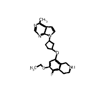 CCOc1cc(OC2CCC(n3ccc4c(C)ncnc43)C2)c2c(c1F)CCNC2